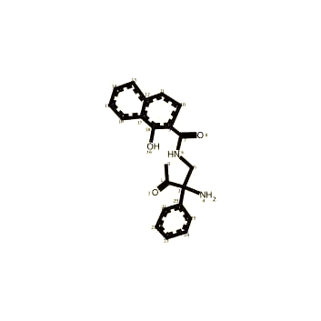 CC(=O)C(N)(CNC(=O)c1ccc2ccccc2c1O)c1ccccc1